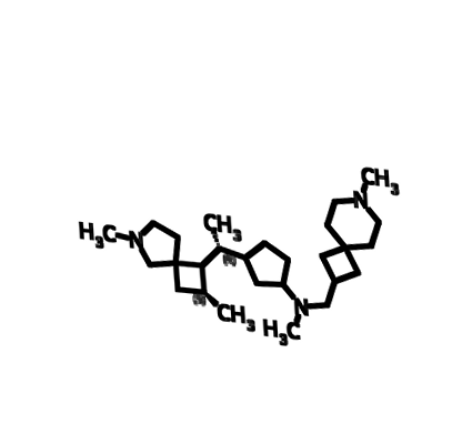 C[C@H](C1CCC(N(C)CC2CC3(CCN(C)CC3)C2)C1)C1[C@@H](C)CC12CCN(C)C2